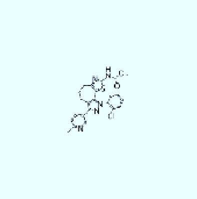 COC(=O)Nc1nc2c(s1)-c1c(c(-c3ccc(C)nc3)nn1-c1ccccc1Cl)CCC2